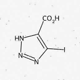 O=C(O)c1[nH]nnc1I